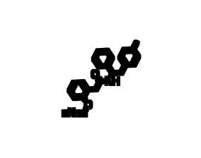 CCCCCCCCCOc1ccccc1CC(=O)NC(Cc1ccc(C)cc1)c1ccccc1